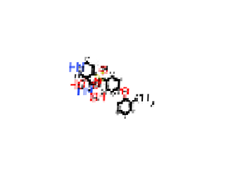 Cc1ccccc1Oc1ccc(S(=O)(=O)C2CCNCC2(O)C(=O)NO)cc1